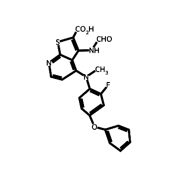 CN(c1ccc(Oc2ccccc2)cc1F)c1ccnc2sc(C(=O)O)c(NC=O)c12